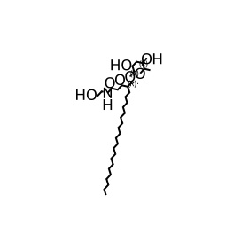 CCCCCCCCCCCCCCCCCCCCCC(C(=O)CC(=O)NCCO)[C@@H](C)O[C@@H]1OC(C)[C@H](O)CC1O